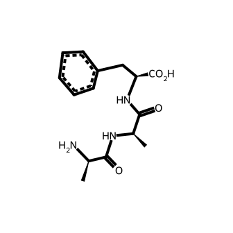 C[C@@H](N)C(=O)N[C@H](C)C(=O)N[C@@H](Cc1ccccc1)C(=O)O